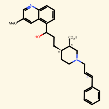 COc1cnc2cccc(C(O)CC[C@@H]3CCN(C/C=C/c4ccccc4)C[C@@H]3C(=O)O)c2c1